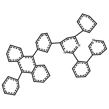 c1ccc(-c2cc(-c3cccc(-c4c5ccccc5c(-c5ccccc5)c5ccccc45)c3)nc(-c3ccccc3-c3cccnc3)n2)cc1